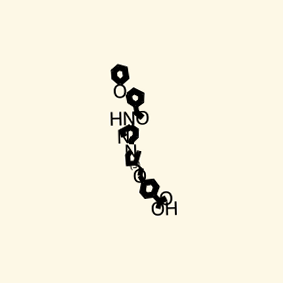 O=C(O)c1ccc(OC[C@H]2CCN(c3ccc(NC(=O)c4cccc(Oc5ccccc5)c4)cn3)C2)cc1